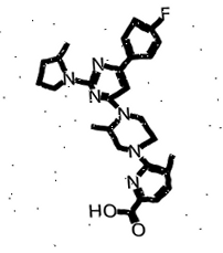 Cc1ccc(C(=O)O)nc1N1CCN(c2cc(-c3ccc(F)cc3)nc(N3CCCC3C)n2)C(C)C1